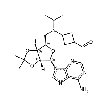 CC(C)N(C[C@H]1O[C@@H](n2cnc3c(N)ncnc32)[C@@H]2OC(C)(C)O[C@@H]21)C1CC(C=O)C1